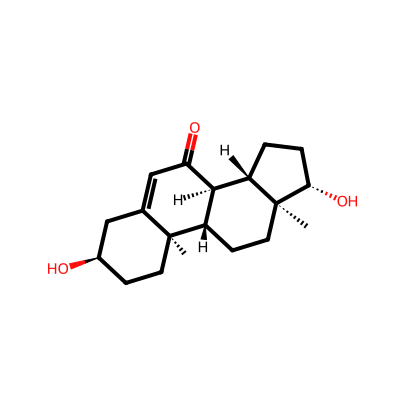 C[C@]12CC[C@H]3[C@@H](C(=O)C=C4C[C@H](O)CC[C@@]43C)[C@@H]1CC[C@@H]2O